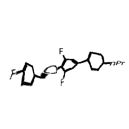 CCCC1CCC(c2cc(F)c(OCC3CC=C(F)CC3)c(F)c2)CC1